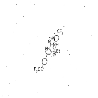 CCS(=O)(=O)c1cc(-c2ccc(OC(F)(F)F)cc2)cnc1C(=NO)Nc1ccc(C(F)(F)F)cn1